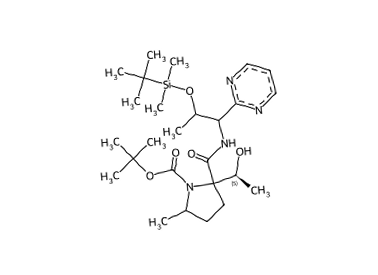 CC(O[Si](C)(C)C(C)(C)C)C(NC(=O)C1([C@H](C)O)CCC(C)N1C(=O)OC(C)(C)C)c1ncccn1